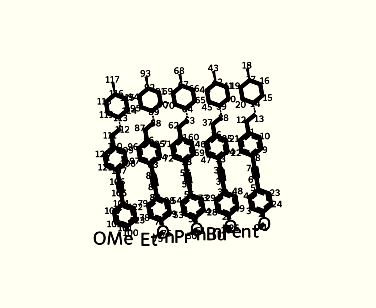 CCCCCOc1ccc(C#Cc2ccc(CC[C@H]3CC[C@H](C)CC3)cc2)cc1.CCCCOc1ccc(C#Cc2ccc(CC[C@H]3CC[C@H](C)CC3)cc2)cc1.CCCOc1ccc(C#Cc2ccc(CC[C@H]3CC[C@H](C)CC3)cc2)cc1.CCOc1ccc(C#Cc2ccc(CC[C@H]3CC[C@H](C)CC3)cc2)cc1.COc1ccc(C#Cc2ccc(CC[C@H]3CC[C@H](C)CC3)cc2)cc1